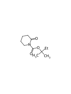 CCC(C)(C)OC(=O)N1CCCCC1=O